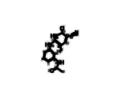 CC(=O)Nc1cccc(NC2=C(F)C=C(C#N)C(Cl)N2)c1